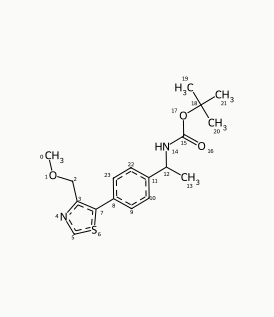 COCc1ncsc1-c1ccc(C(C)NC(=O)OC(C)(C)C)cc1